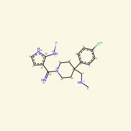 CNCC1(c2ccc(Cl)cc2)CCN(C(=N)c2cc[nH]c2NI)CC1